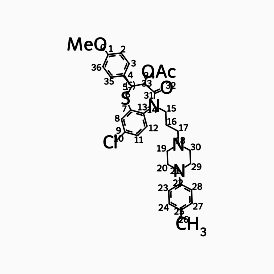 COc1ccc([C@@H]2Sc3cc(Cl)ccc3N(CCCN3CCN(c4ccc(C)cc4)CC3)C(=O)C2OC(C)=O)cc1